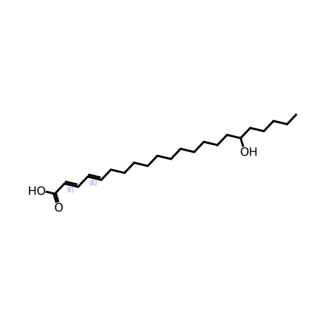 CCCCCC(O)CCCCCCCCCCC/C=C/C=C/C(=O)O